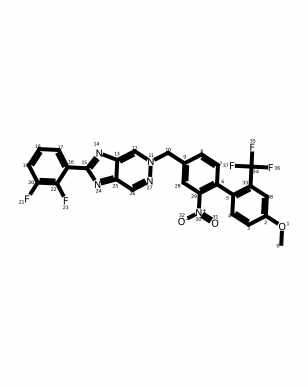 COc1ccc(-c2ccc(Cn3cc4nc(-c5cccc(F)c5F)nc-4cn3)cc2[N+](=O)[O-])c(C(F)(F)F)c1